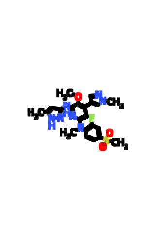 COc1c(-c2cnn(C)c2)cc(N(C)c2ccc(S(C)(=O)=O)cc2F)nc1Nc1cc(C)[nH]n1